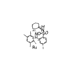 Cc1cc(C)c(C)cc1C.Cc1ccc(S(=O)(=O)N[C@@H]2CCCC[C@H]2N)cc1.[Ru]